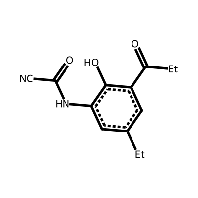 CCC(=O)c1cc(CC)cc(NC(=O)C#N)c1O